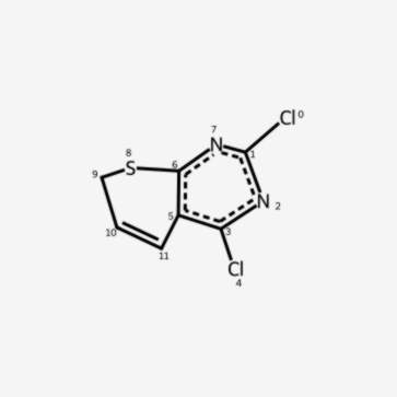 Clc1nc(Cl)c2c(n1)SCC=C2